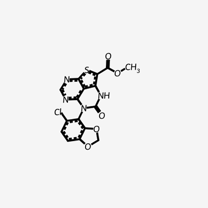 COC(=O)c1sc2ncnc3c2c1NC(=O)N3c1c(Cl)ccc2c1OCO2